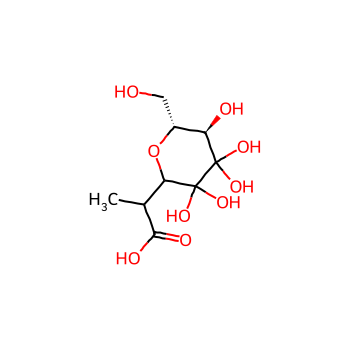 CC(C(=O)O)C1O[C@H](CO)[C@@H](O)C(O)(O)C1(O)O